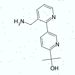 CC(C)(O)c1ccc(-c2ncccc2CN)cn1